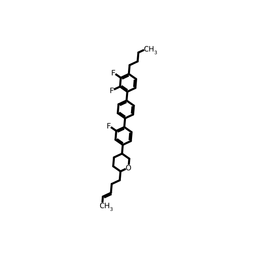 C/C=C/CCC1CCC(c2ccc(-c3ccc(-c4ccc(CCCC)c(F)c4F)cc3)c(F)c2)CO1